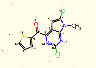 Cn1c(Cl)cc2c(C(=O)c3cccs3)nc(Cl)nc21